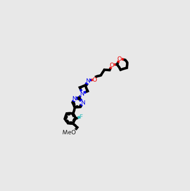 COCc1cccc(-c2cnc(N3CC(=NOCCCCOC4CCCCO4)C3)nc2)c1F